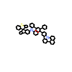 c1ccc(-c2cc(-c3ccccc3N(c3ccccc3)c3ccc4c(c3)C3(c5ccccc5Sc5ccccc53)c3ccccc3-4)ccc2-c2ccc3c(c2)c2cccc4c5cccc6cccc(c65)n3c42)cc1